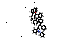 C1=CC2=C(c3cccc(C4(c5ccccc5)c5ccccc5C5(c6ccccc6)c6ccccc6-c6cccc4c65)c3)C=C3c4ccccc4N(c4ccccc4)C3C2C=C1